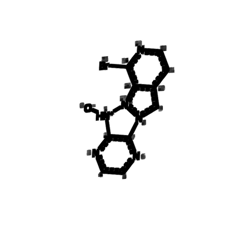 [O-][NH+]1c2nccnc2-n2cc3ccnc(Br)c3[n+]21